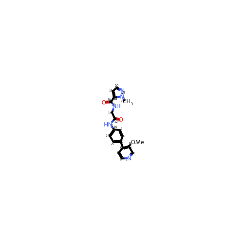 COc1cnccc1-c1ccc(NC(=O)CNC(=O)c2ccnn2C)cc1